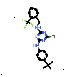 CC(C)(C)c1ccc(Nc2nc(Cl)nc(NCc3ccccc3C(F)(F)F)n2)cc1